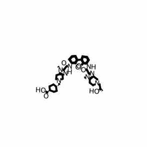 C[C@@H](O)CN1CCc2c(nc(C(=O)Nc3cccc(-c4cccc(NC(=O)c5nc6c(n5C)CCN(C[C@H]5CC[C@H](C(=O)O)CC5)C6)c4Cl)c3Cl)n2C)C1